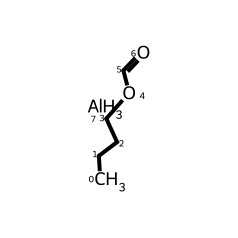 CCCCOC=O.[AlH3]